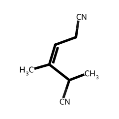 CC(=CCC#N)C(C)C#N